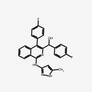 Cc1cc(Nc2nc(C(O)c3ccc(F)cc3)c(-c3ccc(F)cc3)c3ccccc23)n[nH]1